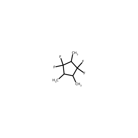 CC1C(C)C(F)(F)C(C)C1(F)F